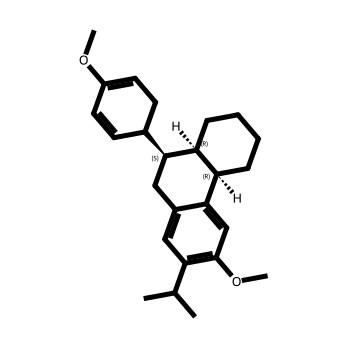 COC1=CCC([C@@H]2Cc3cc(C(C)C)c(OC)cc3[C@@H]3CCCC[C@@H]32)C=C1